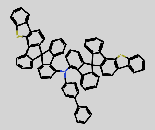 c1ccc(-c2ccc(N(c3cccc4c3-c3ccccc3C43c4ccccc4-c4c3ccc3c4sc4ccccc43)c3cccc4c3-c3ccccc3C43c4ccccc4-c4c3ccc3c4sc4ccccc43)cc2)cc1